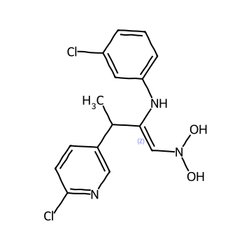 CC(/C(=C/N(O)O)Nc1cccc(Cl)c1)c1ccc(Cl)nc1